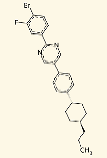 CCC[C@H]1CC[C@H](c2ccc(-c3cnc(-c4ccc(Br)c(F)c4)nc3)cc2)CC1